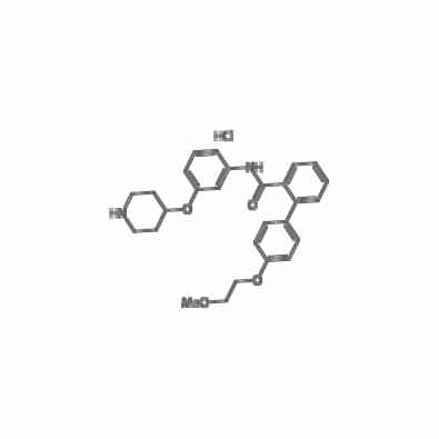 COCCOc1ccc(-c2ccccc2C(=O)Nc2cccc(OC3CCNCC3)c2)cc1.Cl